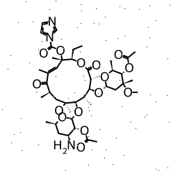 CC[C@H]1OC(=O)[C@H](C)[C@@H](O[C@H]2C[C@@](C)(OC)[C@@H](OC(C)=O)[C@H](C)O2)[C@H](C)[C@@H](O[C@@H]2O[C@H](C)C[C@H](N)[C@H]2OC(C)=O)[C@@](C)(OC)C[C@@H](C)C(=O)/C(C)=C/[C@]1(C)OC(=O)n1ccnc1